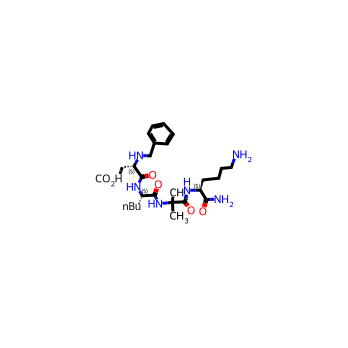 CCCC[C@H](NC(=O)[C@H](CC(=O)O)NCc1ccccc1)C(=O)NC(C)(C)C(=O)N[C@@H](CCCCN)C(N)=O